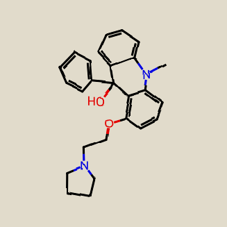 CN1c2ccccc2C(O)(c2ccccc2)c2c(OCCN3CCCC3)cccc21